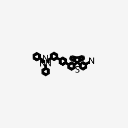 N#Cc1ccc2c(c1)C1(c3cc(-c4ccc(-c5cccc(-c6nc(-c7ccccc7)nc(-c7ccccc7)n6)c5)cc4)ccc3S2)c2ccccc2-c2ccccc21